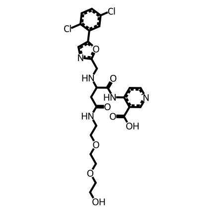 O=C(CC(NCc1ncc(-c2cc(Cl)ccc2Cl)o1)C(=O)Nc1ccncc1C(=O)O)NCCOCCOCCO